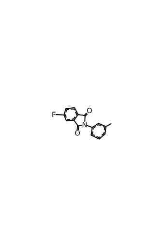 Cc1cccc(N2C(=O)c3ccc(F)cc3C2=O)c1